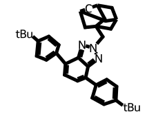 CC(C)(C)c1ccc(-c2ccc(-c3ccc(C(C)(C)C)cc3)c3nn(CC45CC6CC(CC(C6)C4)C5)nc23)cc1